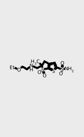 CCOCCNCC1(C)Cc2cc(S(N)(=O)=O)sc2S1(=O)=O